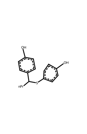 CCCC(Sc1ccc(O)cc1)c1ccc(O)cc1